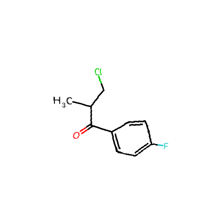 CC(CCl)C(=O)c1ccc(F)cc1